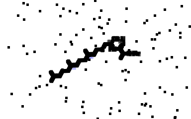 CC(=O)NC(C)C(=O)N[C@@H](CSC/C=C(\C)CC/C=C(\C)CCC=C(C)C)C(=O)O